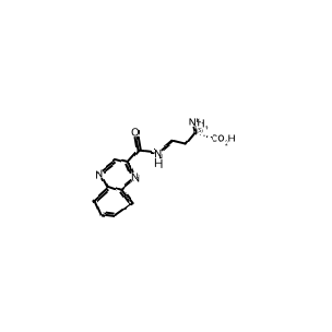 N[C@@H](CCNC(=O)c1cnc2ccccc2n1)C(=O)O